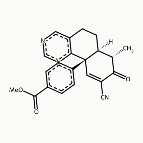 COC(=O)c1ccc([C@]23C=C(C#N)C(=O)[C@@H](C)[C@@H]2CCc2cncnc23)cc1